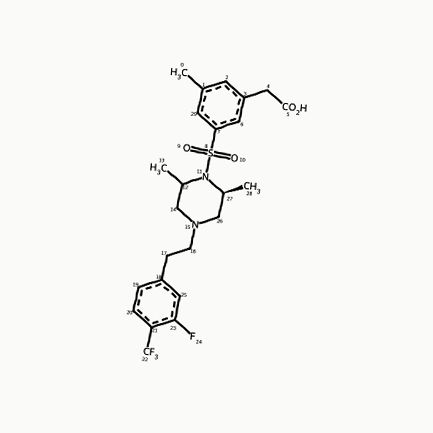 Cc1cc(CC(=O)O)cc(S(=O)(=O)N2C(C)CN(CCc3ccc(C(F)(F)F)c(F)c3)C[C@@H]2C)c1